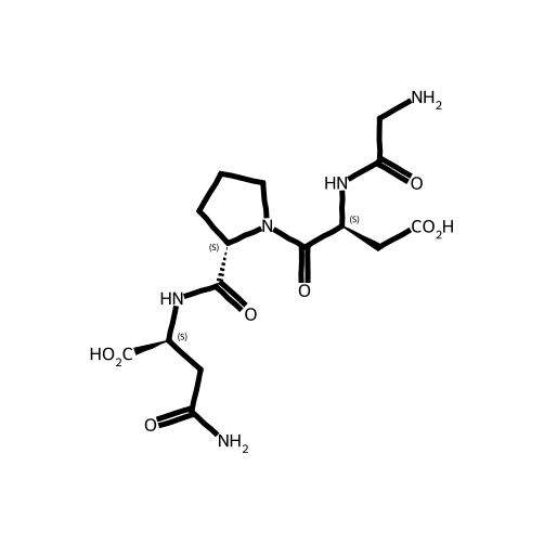 NCC(=O)N[C@@H](CC(=O)O)C(=O)N1CCC[C@H]1C(=O)N[C@@H](CC(N)=O)C(=O)O